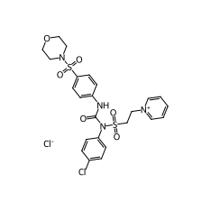 O=C(Nc1ccc(S(=O)(=O)N2CCOCC2)cc1)N(c1ccc(Cl)cc1)S(=O)(=O)CC[n+]1ccccc1.[Cl-]